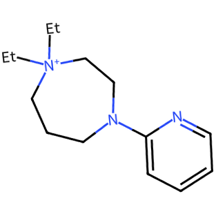 CC[N+]1(CC)CCCN(c2ccccn2)CC1